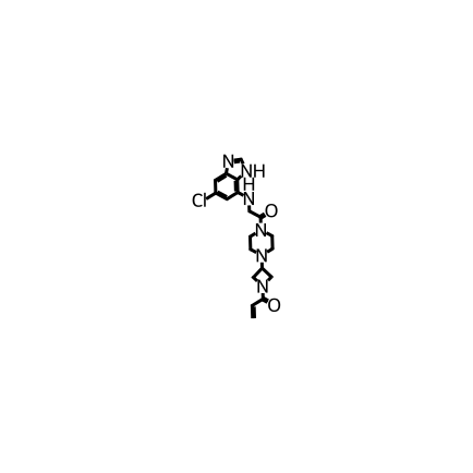 C=CC(=O)N1CC(N2CCN(C(=O)CNc3cc(Cl)cc4nc[nH]c34)CC2)C1